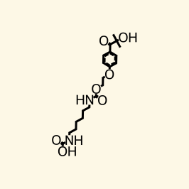 CC(C)(O)C(=O)c1ccc(OCCOC(=O)NCCCCCCNC(=O)O)cc1